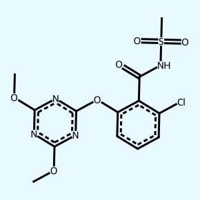 COc1nc(OC)nc(Oc2cccc(Cl)c2C(=O)NS(C)(=O)=O)n1